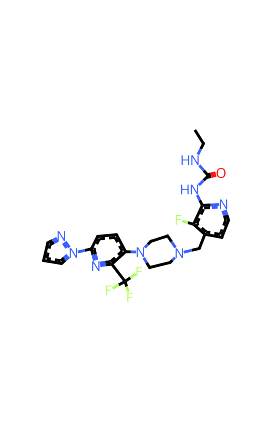 CCNC(=O)Nc1nccc(CN2CCN(c3ccc(-n4cccn4)nc3C(F)(F)F)CC2)c1F